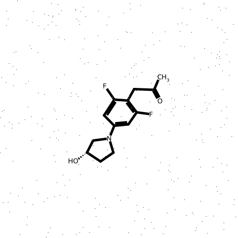 CC(=O)Cc1c(F)cc(N2CC[C@H](O)C2)cc1F